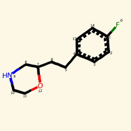 Fc1ccc(C[CH]C2CNCCO2)cc1